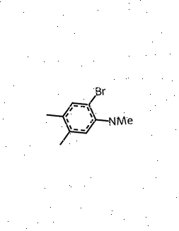 CNc1cc(C)c(C)cc1Br